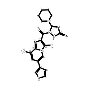 O=C1NC(N2CCCCC2)N(C(=O)c2nc3c(C(F)(F)F)cc(-c4ccoc4)cn3c2Cl)N1